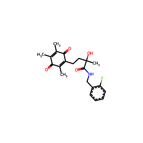 CC1=C(C)C(=O)C(CCC(C)(O)C(=O)NCc2ccccc2F)=C(C)C1=O